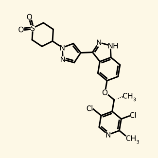 Cc1ncc(Cl)c([C@@H](C)Oc2ccc3[nH]nc(-c4cnn(C5CCS(=O)(=O)CC5)c4)c3c2)c1Cl